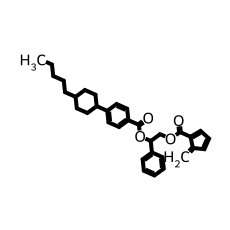 C=C1C=CC=C1C(=O)OCC(OC(=O)c1ccc(C2CCC(CCCCC)CC2)cc1)c1ccccc1